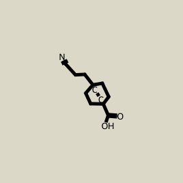 N#CCCC12CCC(C(=O)O)(CC1)CC2